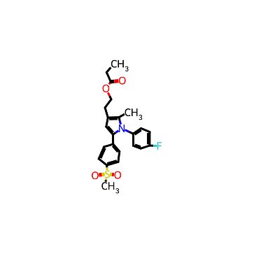 CCC(=O)OCCc1cc(-c2ccc(S(C)(=O)=O)cc2)n(-c2ccc(F)cc2)c1C